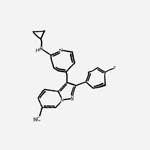 N#Cc1ccc2c(-c3ccnc(NC4CC4)c3)c(-c3ccc(F)cc3)nn2c1